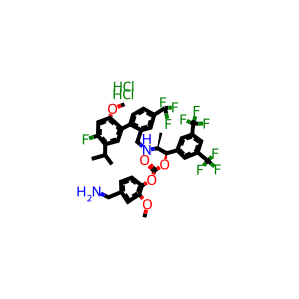 COc1cc(CN)ccc1OC(=O)O[C@H](c1cc(C(F)(F)F)cc(C(F)(F)F)c1)[C@H](C)NCc1cc(C(F)(F)F)ccc1-c1cc(C(C)C)c(F)cc1OC.Cl.Cl